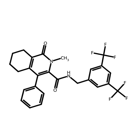 Cn1c(C(=O)NCc2cc(C(F)(F)F)cc(C(F)(F)F)c2)c(-c2ccccc2)c2c(c1=O)CCCC2